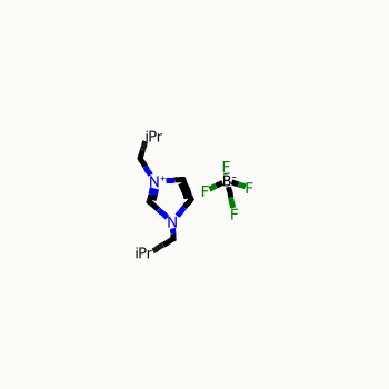 CC(C)Cn1cc[n+](CC(C)C)c1.F[B-](F)(F)F